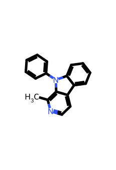 Cc1nccc2c3ccccc3n(-c3ccccc3)c12